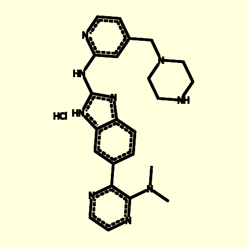 CN(C)c1nccnc1-c1ccc2nc(Nc3cc(CN4CCNCC4)ccn3)[nH]c2c1.Cl